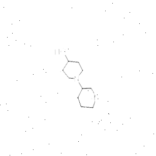 OC1CCN(C2CCCNC2)CC1